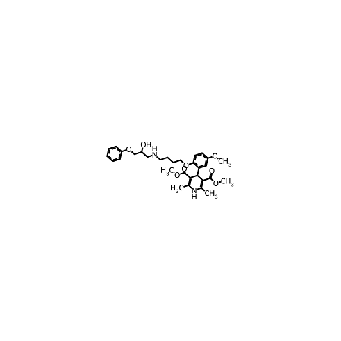 COC(=O)C1=C(C)NC(C)=C(C(=O)OC)C1c1cc(OC)ccc1OCCCCNCC(O)COc1ccccc1